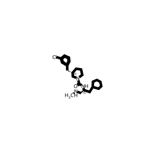 CNC[C@H](CC1CCCCC1)NC(=O)N1CCC[C@@H](Cc2cccc(Cl)c2)C1